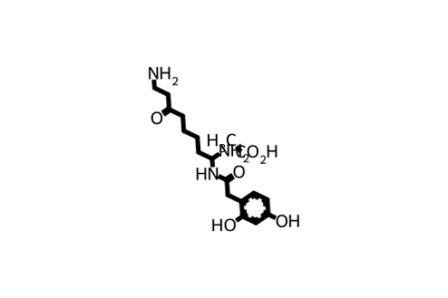 CC(=O)O.NCCC(=O)CCCCC(N)NC(=O)Cc1ccc(O)cc1O